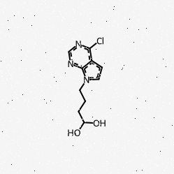 OC(O)CCCn1ccc2c(Cl)ncnc21